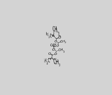 C=C(C)C(=O)OC(C)O[PH](=O)OC(C)OC(=O)C(=C)C